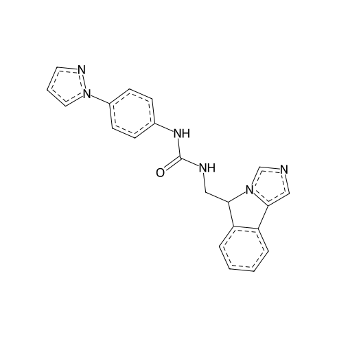 O=C(NCC1c2ccccc2-c2cncn21)Nc1ccc(-n2cccn2)cc1